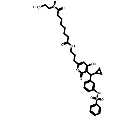 CN(CCS(=O)(=O)O)C(=O)CCCCCCC(=O)NCCCc1cc(O)c(C(c2cccc(NS(=O)(=O)c3ccccc3)c2)C2CC2)c(=O)o1